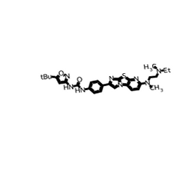 CCN(C)CCN(C)c1ccc2c(n1)sc1nc(-c3ccc(NC(=O)Nc4cc(C(C)(C)C)on4)cc3)cn12